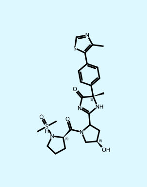 Cc1ncsc1-c1ccc([C@]2(C)NC(C3C[C@@H](O)CN3C(=O)[C@H]3CCCN3[SH](C)(C)=O)=NC2=O)cc1